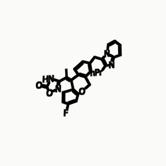 CCCc1nc2ccccn2c1Cc1ccc2c(c1)COc1cc(F)ccc1C2=C(C)c1noc(=O)[nH]1